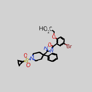 O=C(O)COc1ccc(Br)cc1-c1nc(C2(c3ccccc3)CCN(S(=O)(=O)C3CC3)CC2)no1